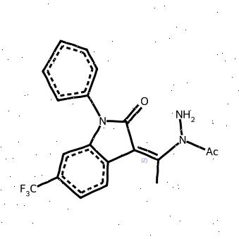 CC(=O)N(N)/C(C)=C1\C(=O)N(c2ccccc2)c2cc(C(F)(F)F)ccc21